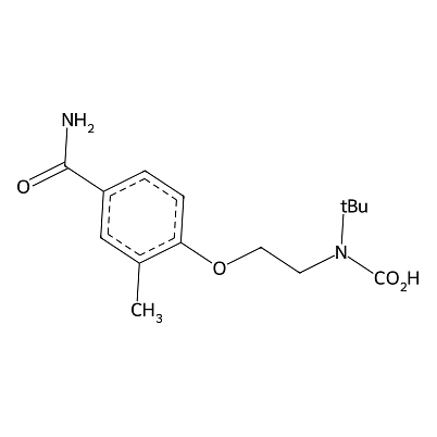 Cc1cc(C(N)=O)ccc1OCCN(C(=O)O)C(C)(C)C